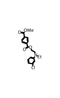 CCN(CCOC(=O)c1ccc(C(=O)OC)cc1)c1cccc(Cl)c1